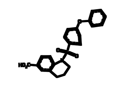 O=C(O)c1ccc2c(c1)CCCN2S(=O)(=O)c1ccc(Oc2ccccc2)cc1